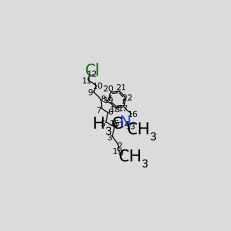 CCCCCCCCCCCCCl.CN(C)Cc1ccccc1